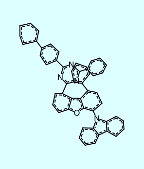 c1ccc(-c2ccc(-c3nc(-c4ccccc4)nc(-c4cccc5oc6c(-n7c8ccccc8c8ccccc87)ccc(-c7ccccc7)c6c45)n3)cc2)cc1